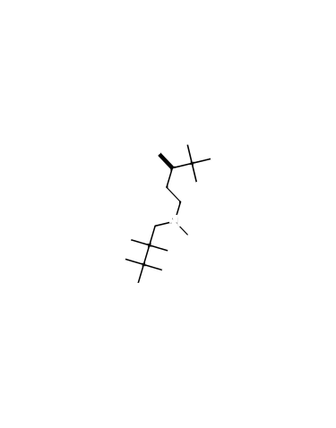 C=C(CCN(C)CC(C)(C)C(C)(C)C)C(C)(C)C